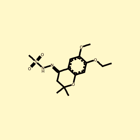 CCOc1cc2c(cc1OC)C(=NNS(C)(=O)=O)CC(C)(C)O2